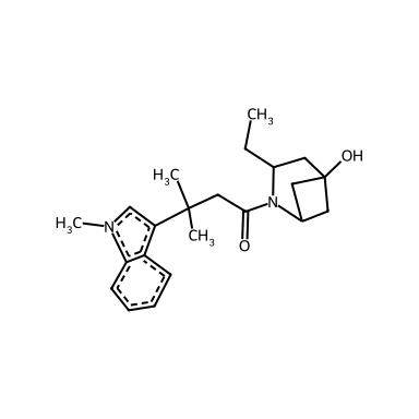 CCC1CC2(O)CC(C2)N1C(=O)CC(C)(C)c1cn(C)c2ccccc12